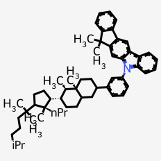 CCC[C@]1(C)C([C@H]2CCC3CC(c4cccc(-n5c6ccccc6c6cc7c(cc65)C(C)(C)c5ccccc5-7)c4)CC[C@@]3(C)[C@@H]2C)CCC1C(C)(C)CCCC(C)C